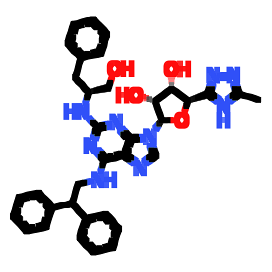 Cc1nnc([C@H]2O[C@@H](n3cnc4c(NCC(c5ccccc5)c5ccccc5)nc(N[C@H](CO)Cc5ccccc5)nc43)[C@H](O)[C@@H]2O)[nH]1